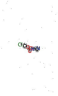 O=C(COc1ccc(Cl)cc1)ON=Cc1cccnc1